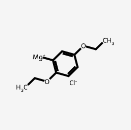 CCOc1ccc(OCC)[c]([Mg+])c1.[Cl-]